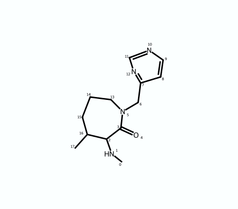 CNC1C(=O)N(Cc2ccncn2)CCCC1C